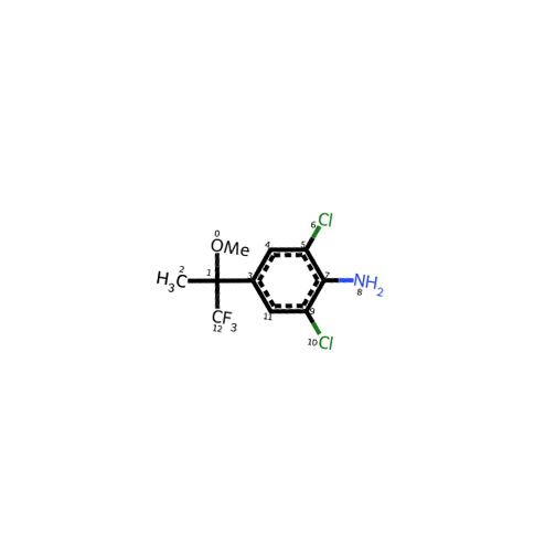 COC(C)(c1cc(Cl)c(N)c(Cl)c1)C(F)(F)F